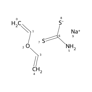 C=COC=C.NC(=S)[S-].[Na+]